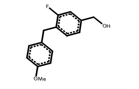 COc1ccc(Cc2[c]cc(CO)cc2F)cc1